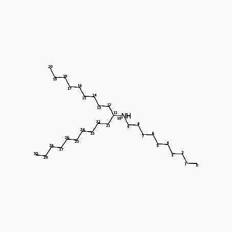 CCCCCCCCCCNC(CCCCCCCCC)CCCCCCCCCC